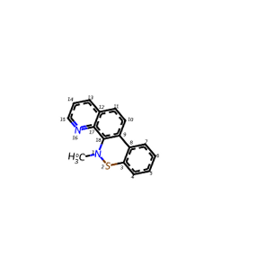 CN1Sc2ccccc2-c2ccc3cccnc3c21